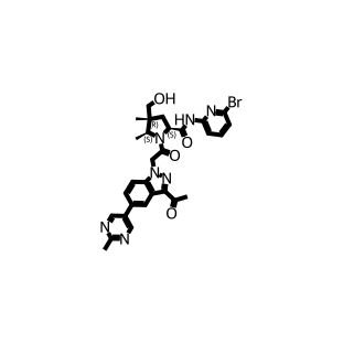 CC(=O)c1nn(CC(=O)N2[C@@H](C)[C@](C)(CO)C[C@H]2C(=O)Nc2cccc(Br)n2)c2ccc(-c3cnc(C)nc3)cc12